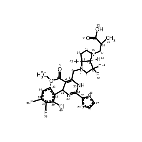 COC(=O)C1=C(CN2CC(F)(F)[C@H]3[C@@H]2CCN3CC(C)C(=O)O)NC(c2nccs2)=NC1c1ccc(F)c(F)c1Cl